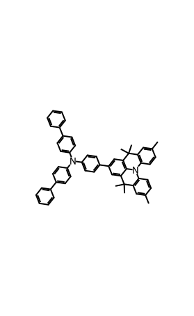 Cc1ccc2c(c1)C(C)(C)c1cc(-c3ccc(N(c4ccc(-c5ccccc5)cc4)c4ccc(-c5ccccc5)cc4)cc3)cc3c1N2c1ccc(C)cc1C3(C)C